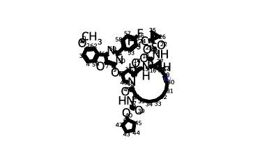 COc1ccc2oc3c(O[C@@H]4C[C@H]5C(=O)N[C@]6(C(=O)NS(=O)(=O)C7(C)CC7)C[C@H]6/C=C\CCCCC[C@H](NC(=O)OC6CCCC6)C(=O)N5C4)nc(-c4ccc(F)cc4)nc3c2c1